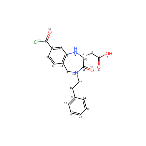 O=C(O)C[C@H]1Nc2cc(C(=O)Cl)ccc2CN(CCc2ccccc2)C1=O